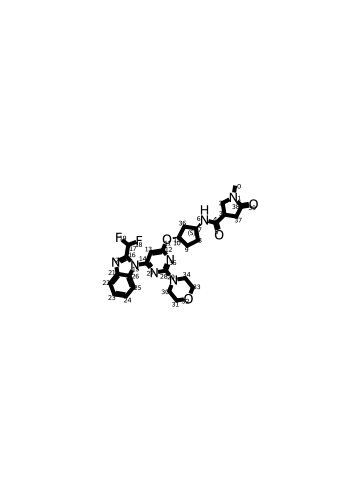 CN1CC(C(=O)N[C@H]2CC[C@H](Oc3cc(-n4c(C(F)F)nc5ccccc54)nc(N4CCOCC4)n3)C2)CC1=O